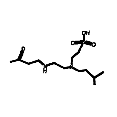 CC(=O)CCNCCN(CCC(C)C)CCS(=O)(=O)O